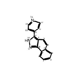 c1ccc2c(c1)ccc1c(-c3ccncc3)[nH]nc12